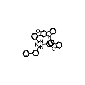 c1ccc(-c2cccc(-c3nc(-c4ccc5c(c4)oc4ccccc45)nc(-c4cccc5oc6cc7c8ccccc8n(-c8ccccc8)c7cc6c45)n3)c2)cc1